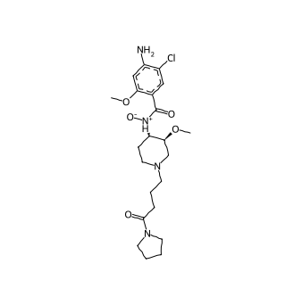 COc1cc(N)c(Cl)cc1C(=O)[NH+]([O-])[C@@H]1CCN(CCCC(=O)N2CCCC2)C[C@@H]1OC